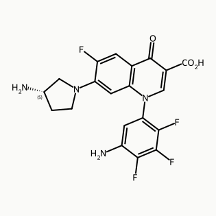 Nc1cc(-n2cc(C(=O)O)c(=O)c3cc(F)c(N4CC[C@H](N)C4)cc32)c(F)c(F)c1F